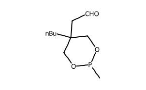 CCCCC1(CC=O)COP(C)OC1